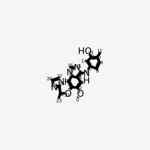 COc1cc2c(Nc3ccc(C)c(O)c3)ncnc2cc1OC(C)c1ncc[nH]1